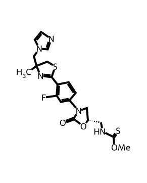 COC(=S)NC[C@H]1CN(c2ccc(C3=NC(C)(Cn4ccnc4)CS3)c(F)c2)C(=O)O1